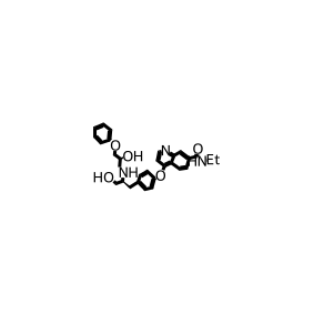 CCNC(=O)c1ccc2c(Oc3ccc(C[C@@H](CO)NC[C@H](O)COc4ccccc4)cc3)ccnc2c1